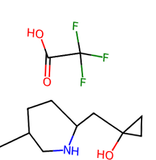 CC1CCC(CC2(O)CC2)NC1.O=C(O)C(F)(F)F